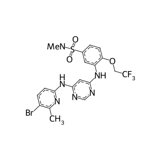 CNS(=O)(=O)c1ccc(OCC(F)(F)F)c(Nc2cc(Nc3ccc(Br)c(C)n3)ncn2)c1